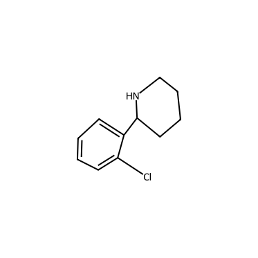 Clc1ccccc1C1CCCCN1